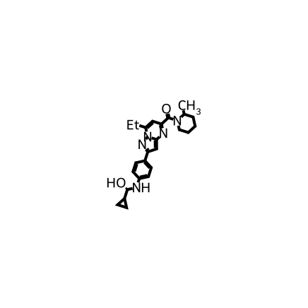 CCc1cc(C(=O)N2CCCCC2C)nc2cc(-c3ccc(N[C@H](O)C4CC4)cc3)nn12